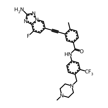 Cc1ccc(C(=O)Nc2ccc(CN3CCN(C)CC3)c(C(F)(F)F)c2)cc1C#Cc1cc(F)c2nc(N)nn2c1